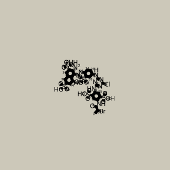 C=C(Br)C(=O)Nc1cc(S(=O)(=O)O)c(Nc2nc(Cl)nc(Nc3ccc(/N=N/c4c(N)c(S(=O)(=O)O)cc5cc(S(=O)(=O)O)cc(O)c45)c(S(=O)(=O)O)c3)n2)cc1S(=O)(=O)O